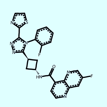 O=C(N[C@H]1C[C@H](c2nnc(-c3nccs3)n2-c2ccccc2F)C1)c1ccnc2cc(F)cnc12